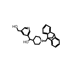 OCc1cncc(C(O)C2CCN(CC34CC(c5ccccc53)c3ccccc34)CC2)c1